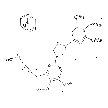 CCCOc1c(CC#CNO)cc(C2COC(c3cc(OC)c(OC)c(OC)c3)C2)cc1OC.O=C1c2cccc1c2